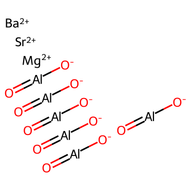 [Ba+2].[Mg+2].[O]=[Al][O-].[O]=[Al][O-].[O]=[Al][O-].[O]=[Al][O-].[O]=[Al][O-].[O]=[Al][O-].[Sr+2]